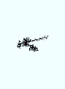 CCCCCCCCCCCCCCCCNN(C(=O)CCc1ccc(OP(=O)(O)O)cc1)C(N)(C(=O)O)C(C)(CCCc1ccccc1)C(=O)CC